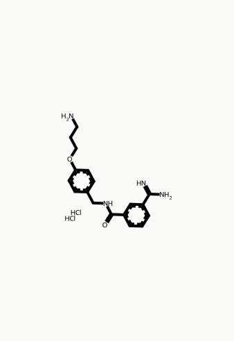 Cl.Cl.N=C(N)c1cccc(C(=O)NCc2ccc(OCCCN)cc2)c1